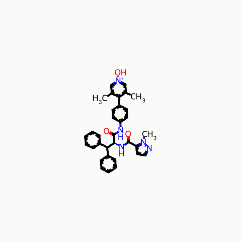 Cc1c[n+](O)cc(C)c1-c1ccc(NC(=O)[C@@H](NC(=O)c2ccnn2C)C(c2ccccc2)c2ccccc2)cc1